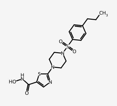 CCCc1ccc(S(=O)(=O)N2CCN(c3ncc(C(=O)NO)s3)CC2)cc1